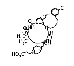 C[C@@H]1[C@@H](C)CCC[C@@](O)(CN2CCN(CCC(=O)O)CC2)[C@@H]2CC[C@H]2CN2CCCCc3cc(Cl)ccc3COc3ccc(cc32)C(=O)NS1(=O)=O